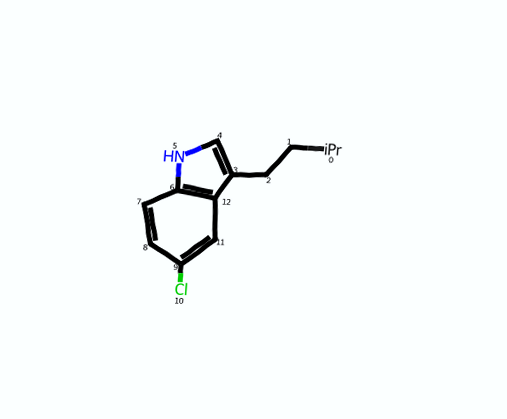 CC(C)CCc1c[nH]c2ccc(Cl)cc12